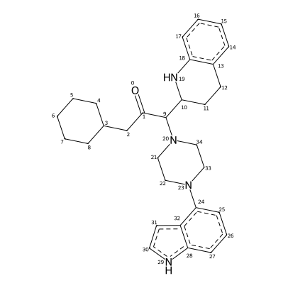 O=C(CC1CCCCC1)C(C1CCc2ccccc2N1)N1CCN(c2cccc3[nH]ccc23)CC1